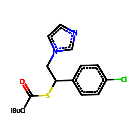 CC(C)COC(=O)SC(Cn1ccnc1)c1ccc(Cl)cc1